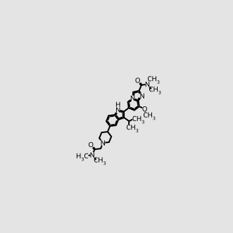 COc1cc(-c2[nH]c3ccc(C4CCN(CC(=O)N(C)C)CC4)cc3c2C(C)C)cn2cc(C(=O)N(C)C)nc12